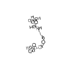 O=C(OCC1CCN(Cc2ccc(OCCCCCCNCC(O)c3ccc(O)c4[nH]c(=O)ccc34)cc2)CC1)C(O)(c1ccccc1)c1ccccc1